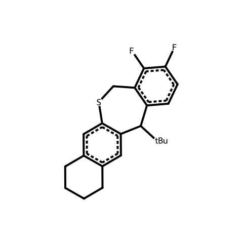 CC(C)(C)C1c2cc3c(cc2SCc2c1ccc(F)c2F)CCCC3